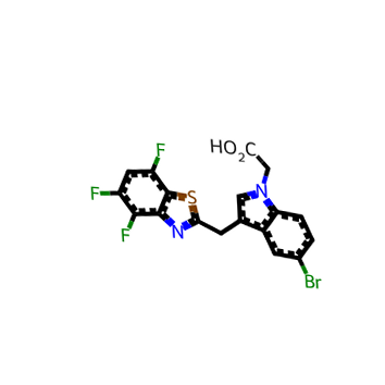 O=C(O)Cn1cc(Cc2nc3c(F)c(F)cc(F)c3s2)c2cc(Br)ccc21